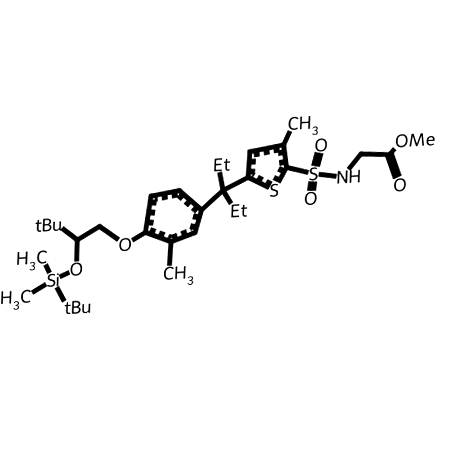 CCC(CC)(c1ccc(OCC(O[Si](C)(C)C(C)(C)C)C(C)(C)C)c(C)c1)c1cc(C)c(S(=O)(=O)NCC(=O)OC)s1